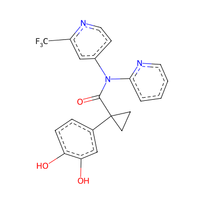 O=C(N(c1ccnc(C(F)(F)F)c1)c1ccccn1)C1(c2ccc(O)c(O)c2)CC1